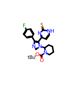 CC(C)(C)OC(=O)N1CCCCC1n1cnc(-c2ccc(F)cc2)c1-c1cc[nH]c(=S)n1